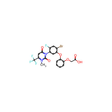 Cn1c(C(F)(F)F)cc(=O)n(-c2cc(Oc3ccccc3OCC(=O)O)c(Br)cc2F)c1=O